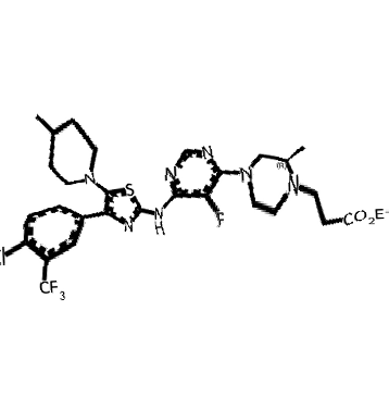 CCOC(=O)CCN1CCN(c2ncnc(Nc3nc(-c4ccc(Cl)c(C(F)(F)F)c4)c(N4CCC(C)CC4)s3)c2F)C[C@H]1C